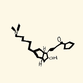 CN(C)CCCCCC1=C[C@H]2C[C@@H](O)[C@H](/C=C/C(=O)C3CCCC3)[C@H]2C1